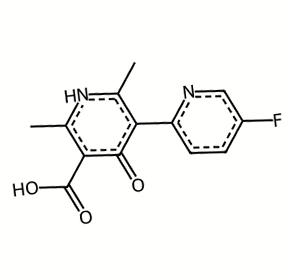 Cc1[nH]c(C)c(-c2ccc(F)cn2)c(=O)c1C(=O)O